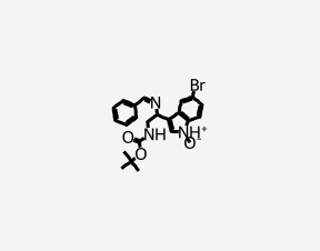 CC(C)(C)OC(=O)NCC(/N=C\c1ccccc1)C1=C[NH+]([O-])c2ccc(Br)cc21